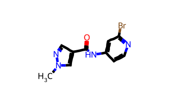 Cn1cc(C(=O)Nc2ccnc(Br)c2)cn1